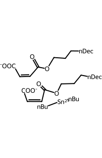 CCCCCCCCCCCCCOC(=O)/C=C\C(=O)[O-].CCCCCCCCCCCCCOC(=O)/C=C\C(=O)[O-].CCC[CH2][Sn+2][CH2]CCC